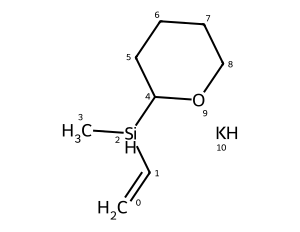 C=C[SiH](C)C1CCCCO1.[KH]